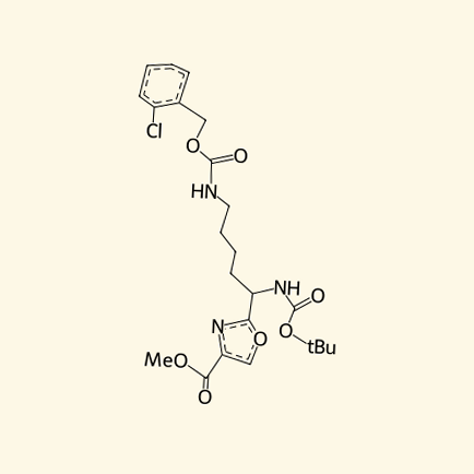 COC(=O)c1coc(C(CCCCNC(=O)OCc2ccccc2Cl)NC(=O)OC(C)(C)C)n1